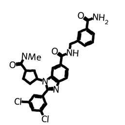 CNC(=O)C1CCC(n2c(-c3cc(Cl)cc(Cl)c3)nc3ccc(C(=O)NCc4cccc(C(N)=O)c4)cc32)C1